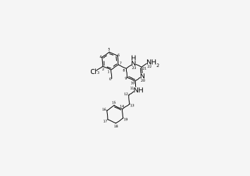 Cc1c(Cl)cccc1C1C=C(NCCC2=CCCCC2)N=C(N)N1